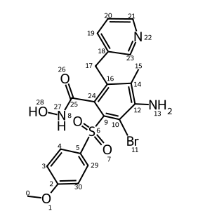 COc1ccc(S(=O)(=O)c2c(Br)c(N)c(C)c(Cc3cccnc3)c2C(=O)NO)cc1